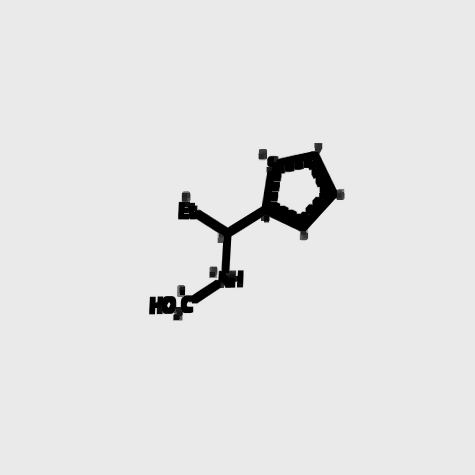 [CH2]CC(NC(=O)O)c1cccs1